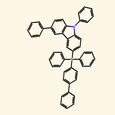 c1ccc(-c2ccc([Si](c3ccccc3)(c3ccccc3)c3ccc4c(c3)c3cc(-c5ccccc5)ccc3n4-c3ccccc3)cc2)cc1